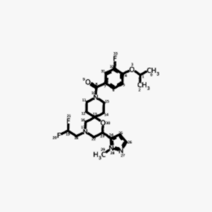 CC(C)Oc1ccc(C(=O)N2CCC3(CC2)CN(CC(F)F)CC(c2ccnn2C)O3)cc1F